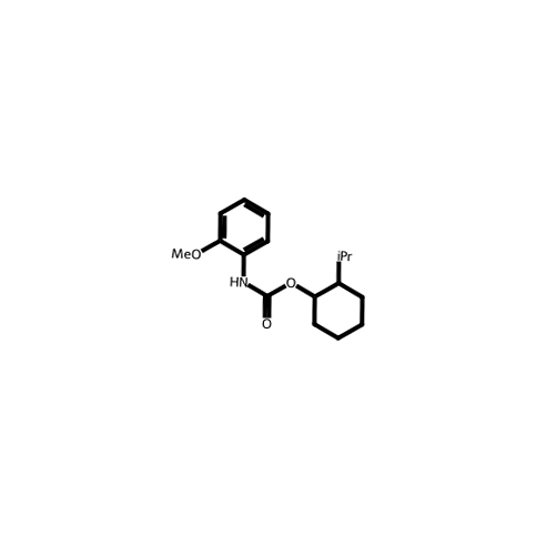 COc1ccccc1NC(=O)OC1CCCCC1C(C)C